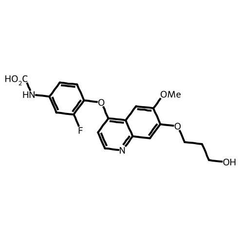 COc1cc2c(Oc3ccc(NC(=O)O)cc3F)ccnc2cc1OCCCO